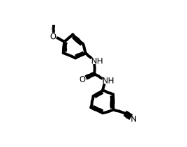 COc1ccc(NC(=O)Nc2cccc(C#N)c2)cc1